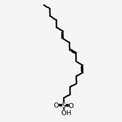 CCCCCC=CCC=CC/C=C\CCCCCS(=O)(=O)O